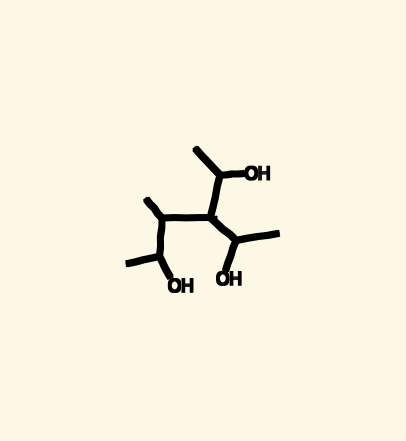 CC(O)[C](C(C)O)C(C)C(C)O